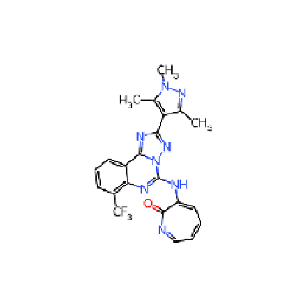 Cc1nn(C)c(C)c1-c1nc2c3cccc(C(F)(F)F)c3nc(Nc3ccccnc3=O)n2n1